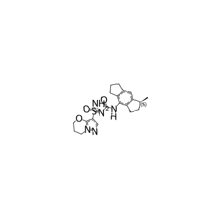 C[C@H]1CCc2c1cc1c(c2NC(=O)N=[S@](N)(=O)c2cnn3c2OCCC3)CCC1